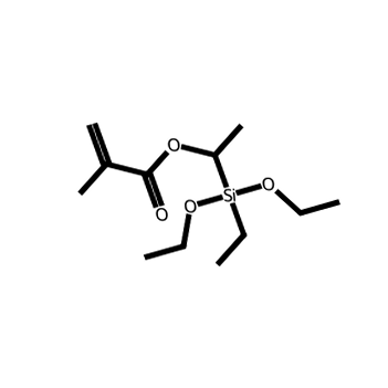 C=C(C)C(=O)OC(C)[Si](CC)(OCC)OCC